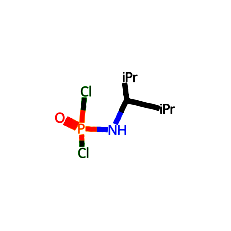 CC(C)C(NP(=O)(Cl)Cl)C(C)C